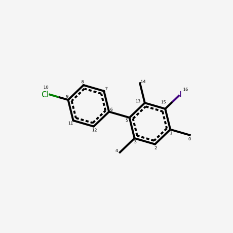 Cc1cc(C)c(-c2ccc(Cl)cc2)c(C)c1I